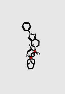 N#Cc1ccc(N2C3CCC2CN(CC(=O)N2CCc4nn(-c5ccccc5)cc4C2)C3)nc1